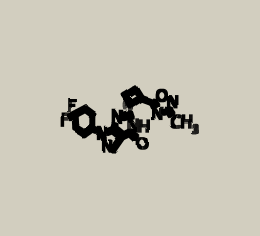 Cc1noc(C2CC[C@H]2c2nc3c(cnn3C3CCC(F)(F)CC3)c(=O)[nH]2)n1